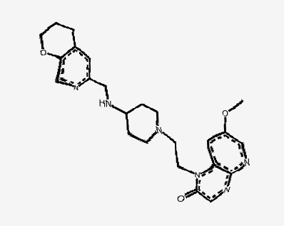 COc1cnc2ncc(=O)n(CCN3CCC(NCc4cc5c(cn4)OCCC5)CC3)c2c1